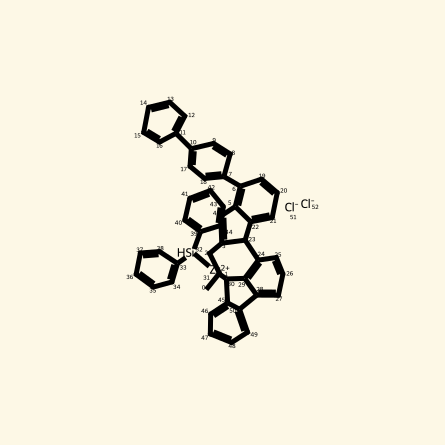 CCCC1=Cc2c(-c3ccc(-c4ccccc4)cc3)cccc2C1c1cccc2c1[CH]([Zr+2][SiH](c1ccccc1)c1ccccc1)c1ccccc1-2.[Cl-].[Cl-]